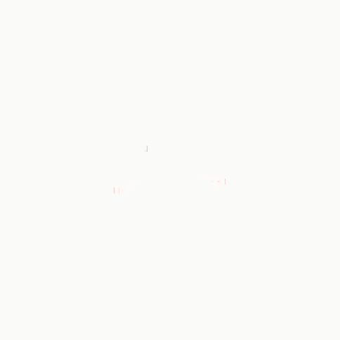 OCC[CH](O)[SbH2]